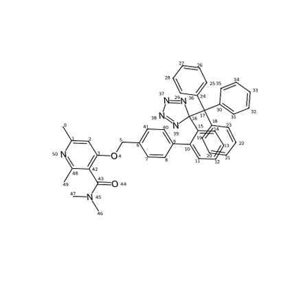 Cc1cc(OCc2ccc(-c3ccccc3C3(C(c4ccccc4)(c4ccccc4)c4ccccc4)N=NN=N3)cc2)c(C(=O)N(C)C)c(C)n1